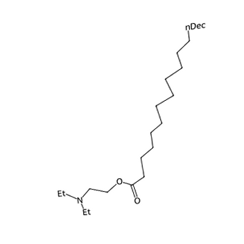 CCCCCCCCCCCCCCCCCCCCCC(=O)OCCN(CC)CC